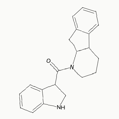 O=C(C1CNc2ccccc21)N1CCCC2c3ccccc3CC21